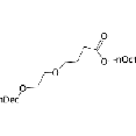 CCCCCCCCCCOCCOCCCC(=O)OCCCCCCCC